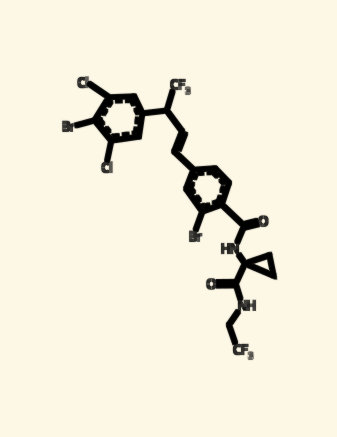 O=C(NC1(C(=O)NCC(F)(F)F)CC1)c1ccc(/C=C/C(c2cc(Cl)c(Br)c(Cl)c2)C(F)(F)F)cc1Br